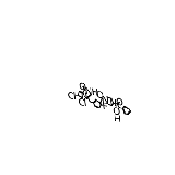 O=C(c1cc(Cc2c[nH]c(=O)c3cc(Cl)c(Cl)n23)ccc1F)N1CCN(C(=O)C(O)c2ccccc2)CC1